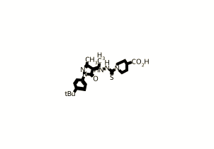 CC1=NN(c2ccc(C(C)(C)C)cc2)C(=O)/C1=C(/C)NNC(=S)N1CCC(C(=O)O)CC1